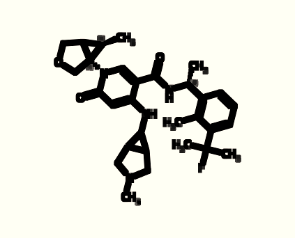 Cc1c([C@@H](C)NC(=O)c2cn([C@]34COCC3[C@H]4C)c(=O)cc2NC2C3CN(C)CC32)cccc1C(C)(C)F